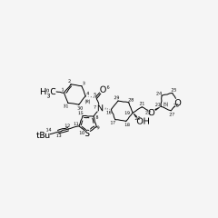 CC1=CC[C@H](C(=O)N(c2csc(C#CC(C)(C)C)c2)[C@H]2CC[C@@](O)(CO[C@H]3CCOC3)CC2)CC1